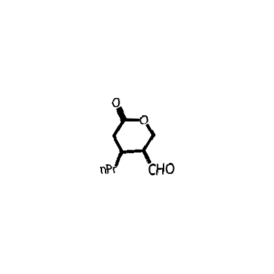 CCCC1CC(=O)OCC1C=O